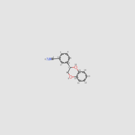 N#Cc1cccc([C@@H]2COc3ccccc3O2)c1